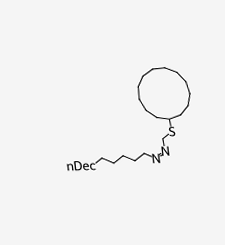 CCCCCCCCCCCCCCC/N=N\CSC1CCCCCCCCCCCC1